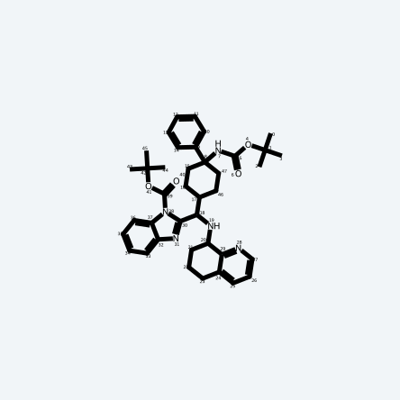 CC(C)(C)OC(=O)NC1(c2ccccc2)CCC(C(NC2CCCc3cccnc32)c2nc3ccccc3n2C(=O)OC(C)(C)C)CC1